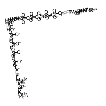 O=[Si]([O-])[O-].O=[Si]([O-])[O-].O=[Si]([O-])[O-].O=[Si]([O-])[O-].O=[Si]([O-])[O-].O=[Si]([O-])[O-].O=[Si]([O-])[O-].O=[Si]([O-])[O-].O=[Si]([O-])[O-].[Al+3].[Al+3].[Al+3].[Al+3].[F-].[F-].[F-].[F-].[F-].[F-].[F-].[F-].[F-].[Fe+3].[Fe+3].[Fe+3].[Fe+3].[K+].[K+].[K+].[K+].[Mg+2].[Mg+2].[Mg+2].[Mg+2].[OH-].[OH-].[OH-].[OH-].[OH-].[OH-].[OH-].[OH-].[OH-]